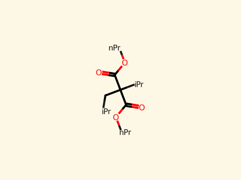 CCCOC(=O)C(CC(C)C)(C(=O)OCCC)C(C)C